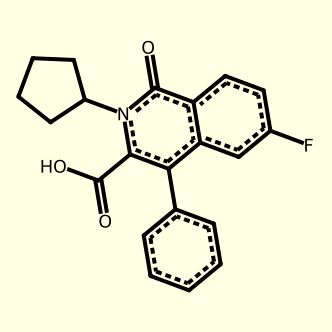 O=C(O)c1c(-c2ccccc2)c2cc(F)ccc2c(=O)n1C1CCCC1